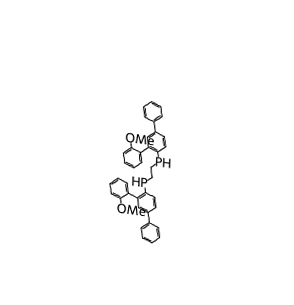 COc1ccccc1-c1cc(-c2ccccc2)ccc1PCCPc1ccc(-c2ccccc2)cc1-c1ccccc1OC